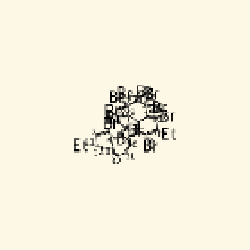 CCc1ccc2c(C(Br)(Br)C3(Br)c4c(Br)c(Br)c(CC)c(Br)c4C(Br)(Br)C(Br)(Br)C3(Br)Br)cccc2c1